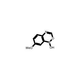 COc1ccc2c(c1)B(O)OC=N2